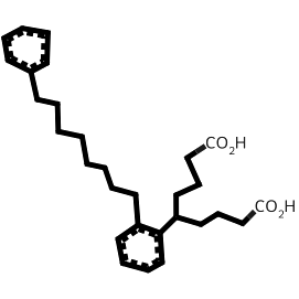 O=C(O)CCCC(CCCC(=O)O)c1ccccc1CCCCCCCCc1ccccc1